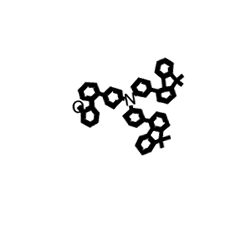 CC1(C)c2ccccc2-c2c(-c3cccc(N(c4ccc(-c5cccc6oc7ccccc7c56)cc4)c4cccc(-c5cccc6c5-c5ccccc5C6(C)C)c4)c3)cccc21